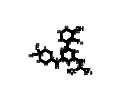 C[C@@H](Nc1nc(NC2CCC(F)(F)CC2)nc(C2=C(F)C(O)CCC2)n1)C(F)(F)F